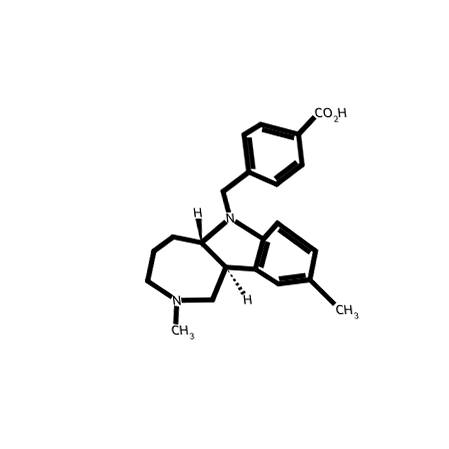 Cc1ccc2c(c1)[C@H]1CN(C)CCC[C@@H]1N2Cc1ccc(C(=O)O)cc1